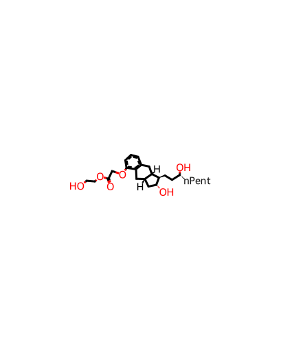 CCCCC[C@@H](O)CC[C@@H]1[C@H]2Cc3cccc(OCC(=O)OCCO)c3C[C@H]2C[C@H]1O